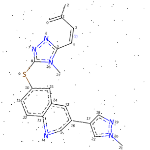 C=C(C)/C=C\c1nnc(Sc2ccc3ncc(-c4cnn(C)c4)cc3c2)n1C